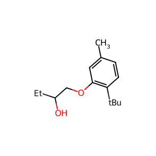 CCC(O)COc1cc(C)ccc1C(C)(C)C